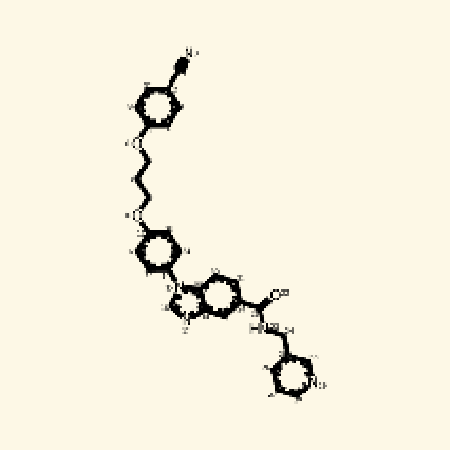 N#Cc1ccc(OCCCOc2ccc(-n3cnc4cc(C(=O)NCc5cccnc5)ccc43)cc2)cc1